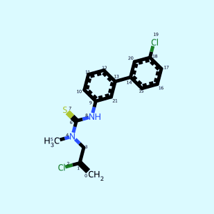 C=C(Cl)CN(C)C(=S)Nc1cccc(-c2cccc(Cl)c2)c1